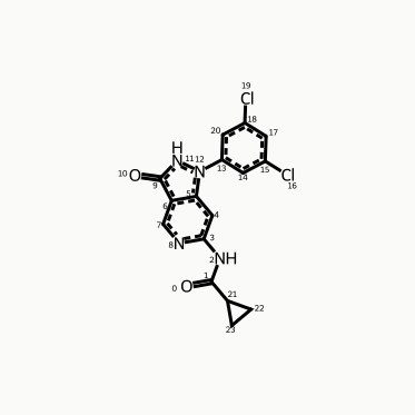 O=C(Nc1cc2c(cn1)c(=O)[nH]n2-c1cc(Cl)cc(Cl)c1)C1CC1